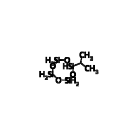 CC(C)[SiH]1O[SiH2]O[SiH2]O[SiH2]O1